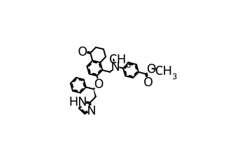 COC(=O)c1ccc(N(C)Cc2c(O[C@@H](Cc3ncc[nH]3)c3ccccc3)ccc3c2CCCC3=O)cc1